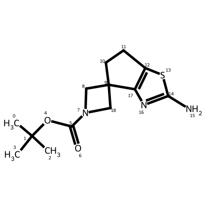 CC(C)(C)OC(=O)N1CC2(CCc3sc(N)nc32)C1